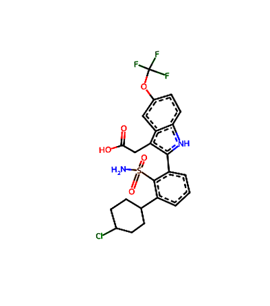 NS(=O)(=O)c1c(-c2[nH]c3ccc(OC(F)(F)F)cc3c2CC(=O)O)cccc1C1CCC(Cl)CC1